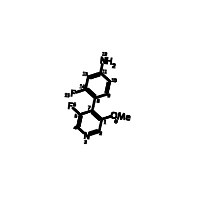 COc1cncc(F)c1-c1ccc(N)cc1F